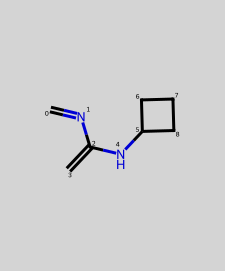 C=NC(=C)NC1CCC1